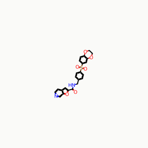 O=C(NCc1ccc(S(=O)(=O)c2ccc3c(c2)OCCO3)cc1)c1cc2ccncc2o1